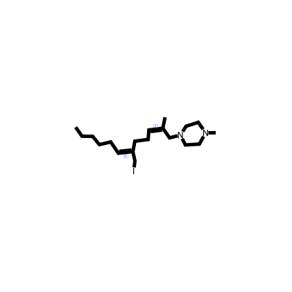 CCCCC/C=C(/CI)CC/C=C(/C)CN1CCN(C)CC1